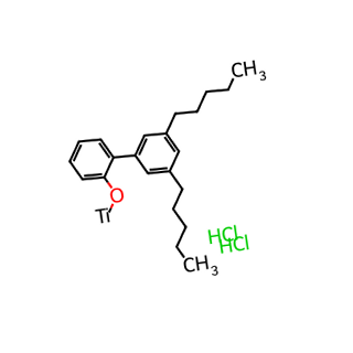 CCCCCc1cc(CCCCC)cc(-c2ccccc2[O][Ti])c1.Cl.Cl